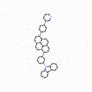 c1cncc(-c2ccc(-c3ccc4ccc5c(-c6cccc(-n7c8ccccc8c8ccccc87)c6)ccc6ccc3c4c65)cc2)c1